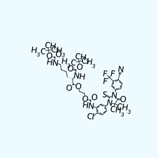 CC(C)(C)OC(=O)NCCCC[C@H](NC(=O)OC(C)(C)C)C(=O)OCCOC(=O)Nc1cc(N2C(=S)N(c3ccc(C#N)c(C(F)(F)F)c3)C(=O)C2(C)C)ccc1Cl